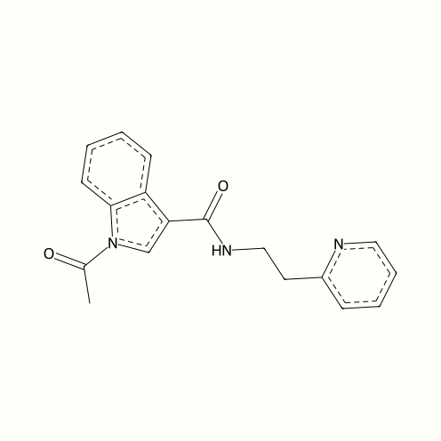 CC(=O)n1cc(C(=O)NCCc2ccccn2)c2ccccc21